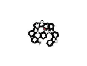 N#Cc1c(-n2c3ccccc3c3ccc4oc5ccccc5c4c32)ccc(-c2c(F)cccc2F)c1-n1c2ccccc2c2ccc3oc4ccccc4c3c21